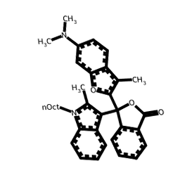 CCCCCCCCn1c(C)c(C2(c3oc4cc(N(C)C)ccc4c3C)OC(=O)c3ccccc32)c2ccccc21